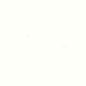 C=C(CON)NCCSSCc1ccccn1